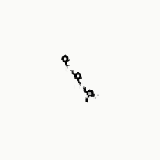 O=c1[nH]c2c(O)ccc([C@@H](O)CNCCc3cccc(CCNCCc4ccccc4F)c3)c2s1